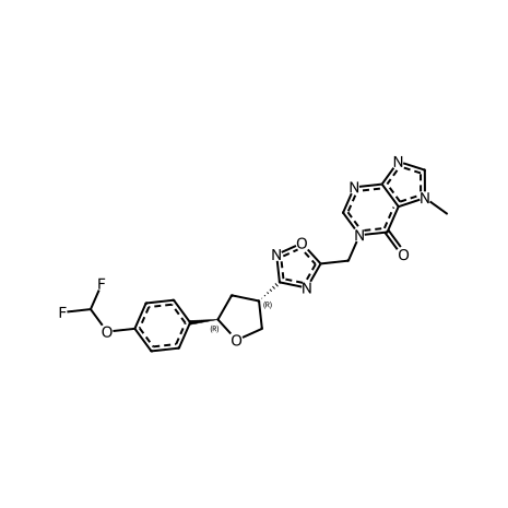 Cn1cnc2ncn(Cc3nc([C@@H]4CO[C@@H](c5ccc(OC(F)F)cc5)C4)no3)c(=O)c21